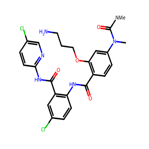 CNC(=O)N(C)c1ccc(C(=O)Nc2ccc(Cl)cc2C(=O)Nc2ccc(Cl)cn2)c(OCCCN)c1